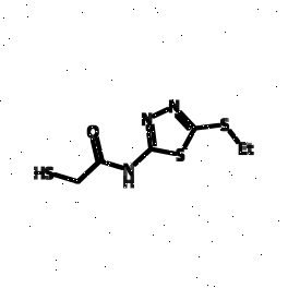 CCSc1nnc(NC(=O)CS)s1